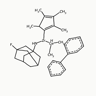 CC1=C(C)C(C)[C]([Zr]([NH]C23CC4CC(CC(F)(C4)C2)C3)[GeH]([CH3])[CH3])=C1C.c1ccc(-c2ccccc2)cc1